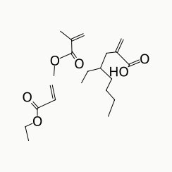 C=C(C)C(=O)OC.C=C(CC(CC)CCCC)C(=O)O.C=CC(=O)OCC